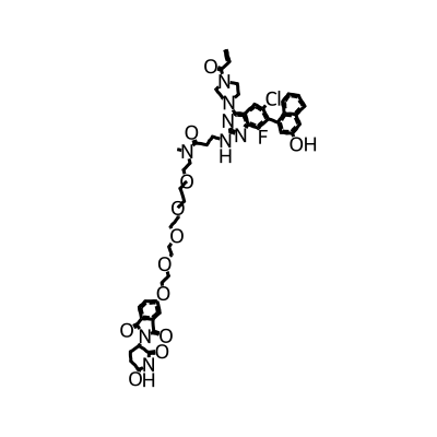 C=CC(=O)N1CCN(c2nc(NCCC(=O)N(C)CCOCCOCCOCCOCCOc3ccc4c(c3)C(=O)N(C3CCC(=O)NC3=O)C4=O)nc3c(F)c(-c4cc(O)cc5ccccc45)c(Cl)cc23)CC1